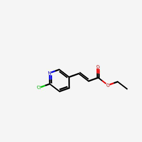 CCOC(=O)C=Cc1ccc(Cl)nc1